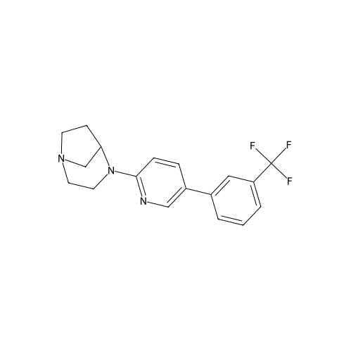 FC(F)(F)c1cccc(-c2ccc(N3CCN4CCC3C4)nc2)c1